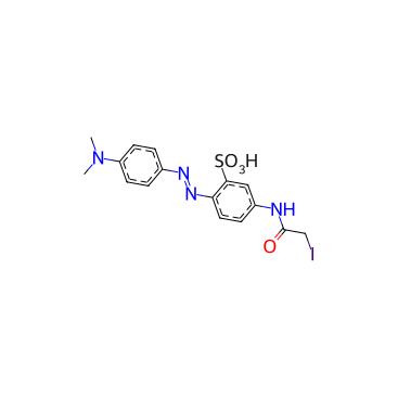 CN(C)c1ccc(N=Nc2ccc(NC(=O)CI)cc2S(=O)(=O)O)cc1